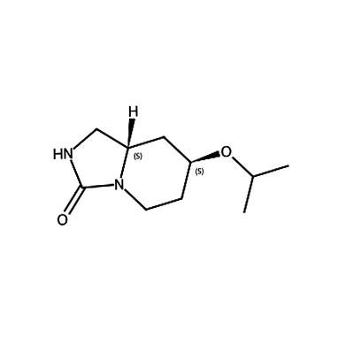 CC(C)O[C@H]1CCN2C(=O)NC[C@@H]2C1